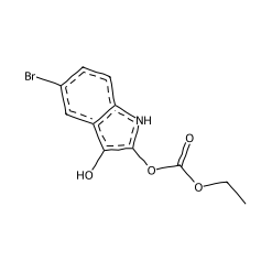 CCOC(=O)Oc1[nH]c2ccc(Br)cc2c1O